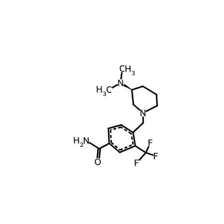 CN(C)[C@H]1CCCN(Cc2ccc(C(N)=O)cc2C(F)(F)F)C1